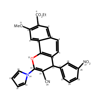 CCOC(=O)c1cc2ccc3c(c2cc1OC)OC(n1cccc1)=C(C#N)C3c1cccc([N+](=O)[O-])c1